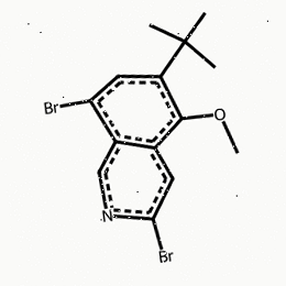 COc1c(C(C)(C)C)cc(Br)c2cnc(Br)cc12